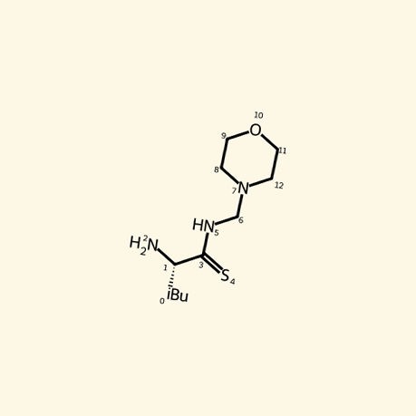 CCC(C)[C@H](N)C(=S)NCN1CCOCC1